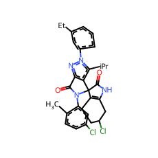 CCc1cccc(-n2nc3c(c2C(C)C)C2(C(=O)NC4=C2CCC(Cl)C4)N(c2cc(Cl)ccc2C)C3=O)c1